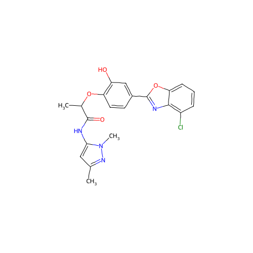 Cc1cc(NC(=O)C(C)Oc2ccc(-c3nc4c(Cl)cccc4o3)cc2O)n(C)n1